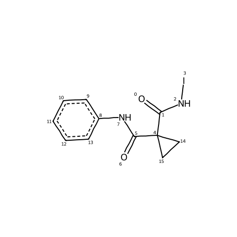 O=C(NI)C1(C(=O)Nc2ccccc2)CC1